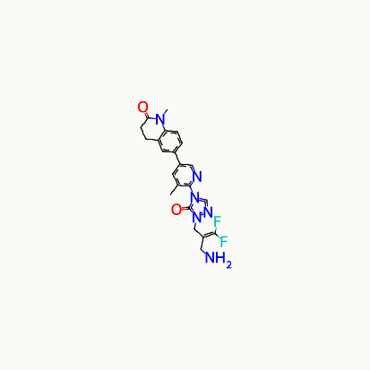 Cc1cc(-c2ccc3c(c2)CCC(=O)N3C)cnc1-n1cnn(CC(CN)=C(F)F)c1=O